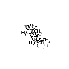 CC(C)C(=O)C(N1CCC(CC(C)C(=O)C(N2CCNC2=O)C(C)(C)C)NC1=O)C(C)(C)C